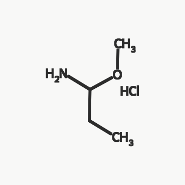 CCC(N)OC.Cl